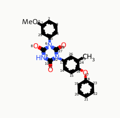 COc1cccc(-n2c(=O)[nH]c(=O)n(-c3ccc(Oc4ccccc4)c(C)c3)c2=O)c1